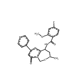 COc1cc(F)ccc1C(=O)NC1CN(C)CCn2c1nc(-c1ccncc1)cc2=O